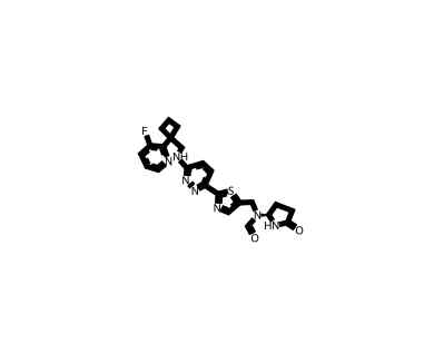 O=CN(Cc1cnc(-c2ccc(NCC3(c4ncccc4F)CCC3)nn2)s1)[C@H]1CCC(=O)N1